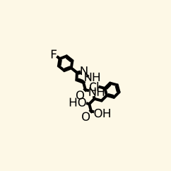 O=C(NC(Cc1ccccc1Cl)C(O)C(=O)O)c1cc(-c2ccc(F)cc2)n[nH]1